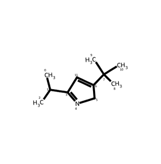 CC(C)C1=NCC(C(C)(C)C)=C1